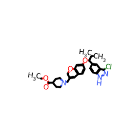 CCOC(=O)C1CCN(CC2=Cc3ccc(OC(c4ccc5[nH]nc(Cl)c5c4)C(C)C)cc3OC2)CC1